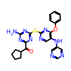 Nc1nc(Sc2ncc(Nc3cncnc3)c(Oc3ccccc3)n2)nc(C(=O)C2CCCC2)n1